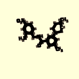 CN1CCN(c2cc(C(=O)NCc3ccc([N+](=O)[O-])cc3N)cc(C(F)(F)F)c2)CC1